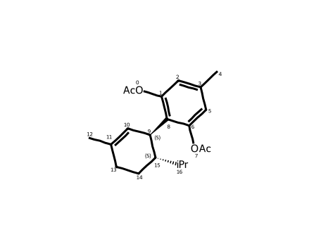 CC(=O)Oc1cc(C)cc(OC(C)=O)c1[C@@H]1C=C(C)CC[C@H]1C(C)C